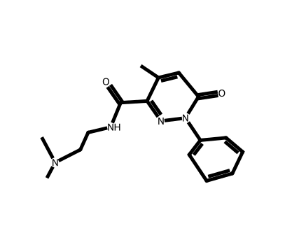 Cc1cc(=O)n(-c2ccccc2)nc1C(=O)NCCN(C)C